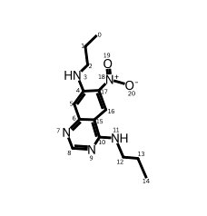 CCCNc1cc2ncnc(NCCC)c2cc1[N+](=O)[O-]